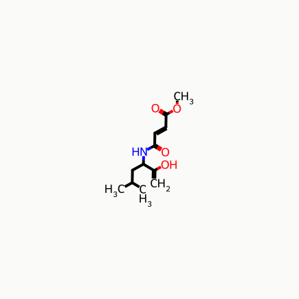 C=C(O)C(CC(C)C)NC(=O)/C=C/C(=O)OC